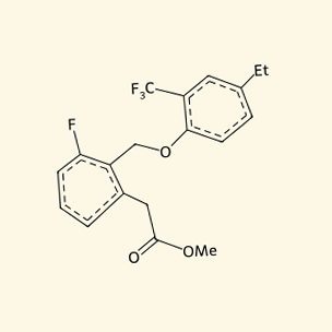 CCc1ccc(OCc2c(F)cccc2CC(=O)OC)c(C(F)(F)F)c1